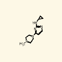 CN1CCN(c2ccnc(NC3CC3)n2)CC1